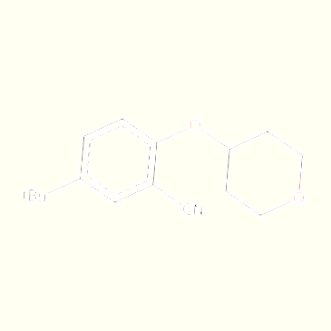 CC(C)(C)c1ccc(OC2CCOCC2)c(C#N)c1